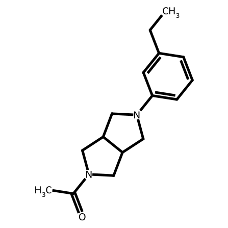 CCc1cccc(N2CC3CN(C(C)=O)CC3C2)c1